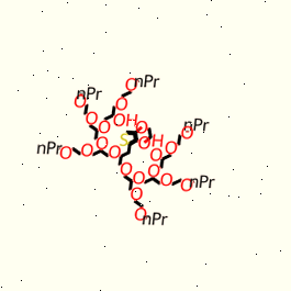 CCCOCCOCC(O)COC(COCCOCCC)COC(COCCOCCC)COCC(Cc1scc2c1OCCO2)OCC(COCCOCCC)OCC(COCCOCCC)OCC(O)COCCOCCC